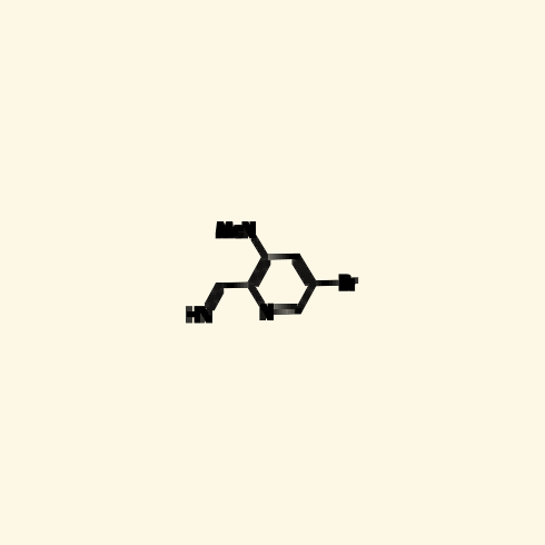 CNc1cc(Br)cnc1C=N